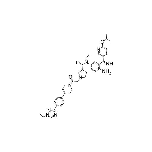 CCN(C(=O)C1CCN(CC(=O)N2CC=C(c3ccc(-c4ncn(CC)n4)cc3)CC2)C1)c1ccc(N)c(C(=N)c2ccc(OC(C)C)nc2)c1